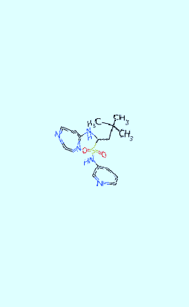 CC(C)(C)CC(Nc1ccncn1)S(=O)(=O)Nc1cccnc1